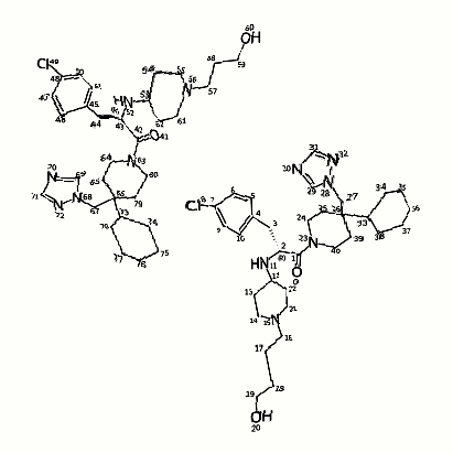 O=C([C@@H](Cc1ccc(Cl)cc1)NC1CCN(CCCCO)CC1)N1CCC(Cn2cncn2)(C2CCCCC2)CC1.O=C([C@@H](Cc1ccc(Cl)cc1)NC1CCN(CCCO)CC1)N1CCC(Cn2cncn2)(C2CCCCC2)CC1